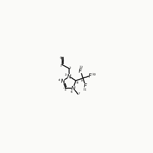 C=CCN1N=[C]N(C)C1C(F)(F)F